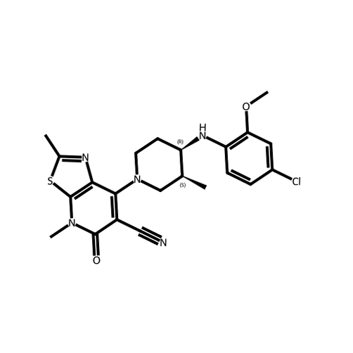 COc1cc(Cl)ccc1N[C@@H]1CCN(c2c(C#N)c(=O)n(C)c3sc(C)nc23)C[C@@H]1C